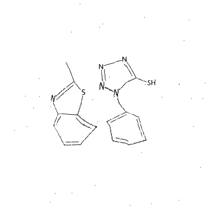 Cc1nc2ccccc2s1.Sc1nnnn1-c1ccccc1